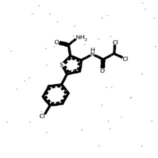 NC(=O)c1sc(-c2ccc(Cl)cc2)cc1NC(=O)C(Cl)Cl